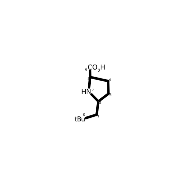 CC(C)(C)CC1CCC(C(=O)O)N1